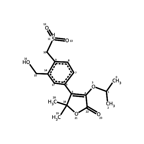 CC(C)OC1=C(c2ccc(C[SH](=O)=O)c(CO)c2)C(C)(C)OC1=O